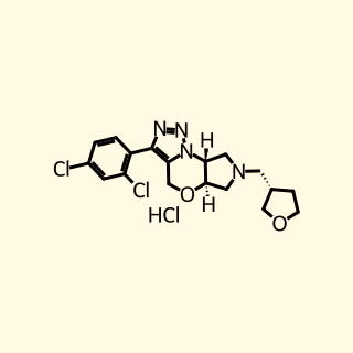 Cl.Clc1ccc(-c2nnn3c2CO[C@@H]2CN(C[C@@H]4CCOC4)C[C@H]23)c(Cl)c1